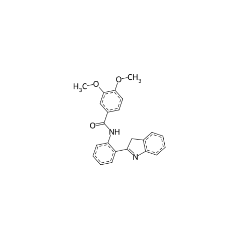 COc1ccc(C(=O)Nc2ccccc2C2=Nc3ccccc3C2)cc1OC